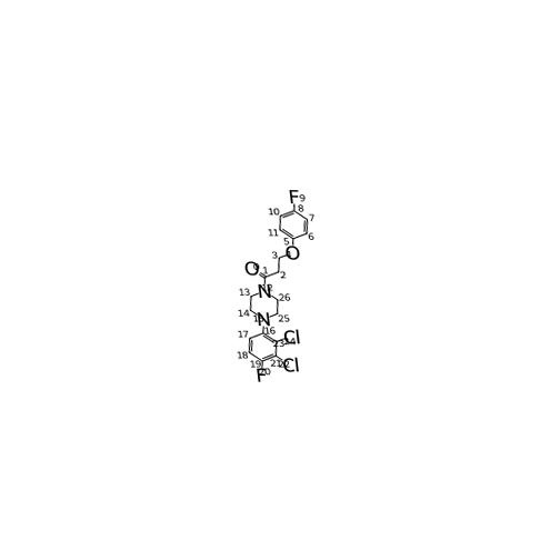 O=C(CCOc1ccc(F)cc1)N1CCN(c2ccc(F)c(Cl)c2Cl)CC1